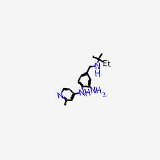 CCC(C)(C)NCc1ccc(Nc2ccnc(C)c2)cc1.N